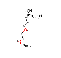 CCCCCOCCOCCC=C(C#N)C(=O)O